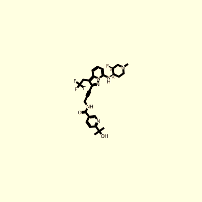 CN1CC[C@@H](Nc2cccc3c(CC(F)(F)F)c(C#CCNC(=O)c4ccc(C(C)(C)O)nc4)nn23)[C@@H](F)C1